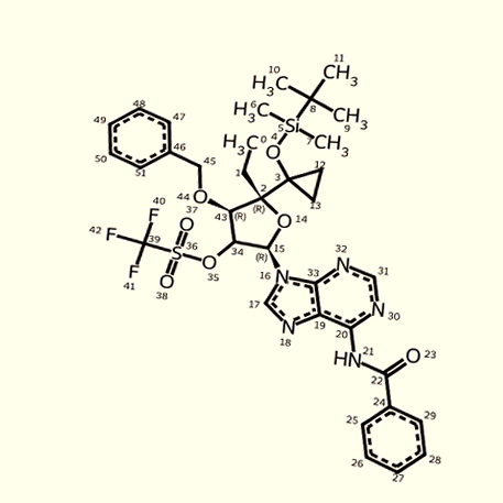 CC[C@@]1(C2(O[Si](C)(C)C(C)(C)C)CC2)O[C@@H](n2cnc3c(NC(=O)c4ccccc4)ncnc32)C(OS(=O)(=O)C(F)(F)F)[C@H]1OCc1ccccc1